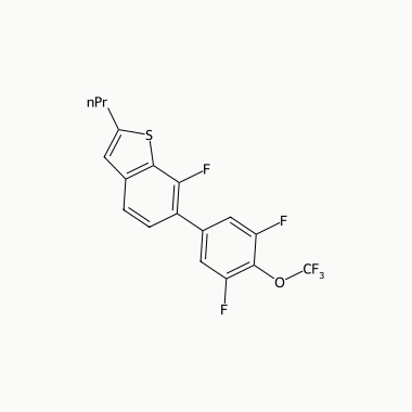 CCCc1cc2ccc(-c3cc(F)c(OC(F)(F)F)c(F)c3)c(F)c2s1